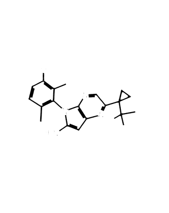 Cc1ccc(O)c(C)c1-n1c(N)cc2nc(C3(C(F)(F)F)CC3)cnc21